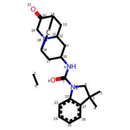 CC.CC1(C)CN(C(=O)NC2CC3CC4CC(C2)N3CC4=O)c2ccccc21